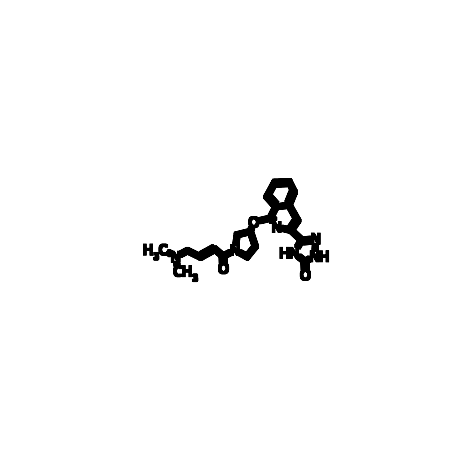 CN(C)CC=CC(=O)N1CCC(Oc2nc(-c3n[nH]c(=O)[nH]3)cc3ccccc23)C1